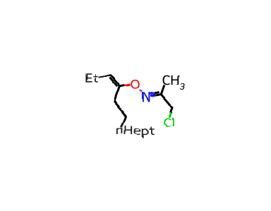 CC/C=C(\CCCCCCCCC)O/N=C(\C)CCl